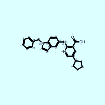 O=C(O)c1cc(C2CCCC2)cnc1Nc1ccc2c(ccn2Cc2ccccc2)c1